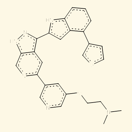 CN(C)CCOc1cncc(-c2cc3c(-c4cc5c(-c6ccoc6)cccc5[nH]4)n[nH]c3cn2)c1